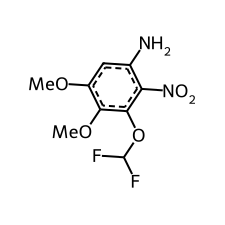 COc1cc(N)c([N+](=O)[O-])c(OC(F)F)c1OC